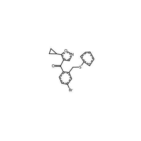 O=C(c1ccc(Br)cc1CSc1ccccc1)c1cnoc1C1CC1